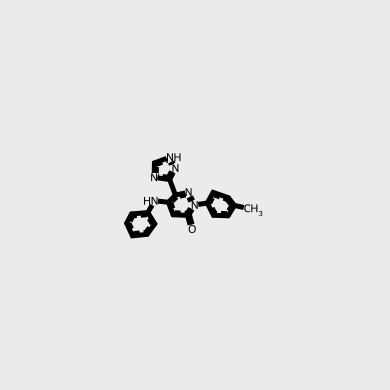 Cc1ccc(-n2nc(-c3nc[nH]n3)c(Nc3ccccc3)cc2=O)cc1